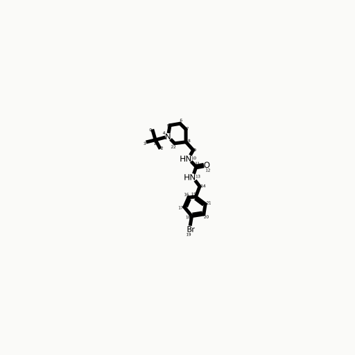 CC(C)(C)N1CCCC(CNC(=O)NCc2ccc(Br)cc2)C1